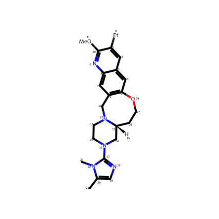 CCc1cc2cc3c(cc2nc1OC)CN1CCN(c2ncc(C)n2C)C[C@H]1CCO3